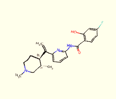 C=C(c1cccc(NC(=O)c2ccc(F)cc2O)n1)[C@@H]1CCN(C)C[C@H]1C